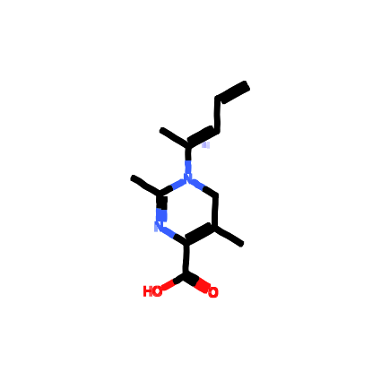 C=C/C=C(\C)N1CC(C)=C(C(=O)O)N=C1C